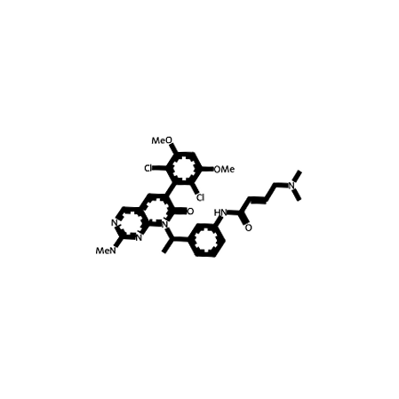 CNc1ncc2cc(-c3c(Cl)c(OC)cc(OC)c3Cl)c(=O)n(C(C)c3cccc(NC(=O)/C=C/CN(C)C)c3)c2n1